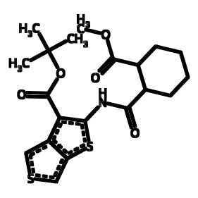 COC(=O)C1CCCCC1C(=O)Nc1sc2cscc2c1C(=O)OC(C)(C)C